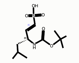 CC(C)C[C@H](/C=C/S(=O)(=O)O)NC(=O)OC(C)(C)C